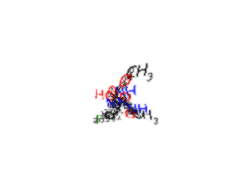 CCOCCNC(=O)c1c(O)c2ncc(Cc3ccc(F)cc3)cc2n(CCNC(C)=O)c1=O